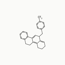 FC(F)(F)c1ccc(CC2C=C3C(=C4CCCC=C42)CCc2ccccc23)cc1